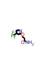 NC(=O)CCOc1cc(C(F)(F)F)ccn1